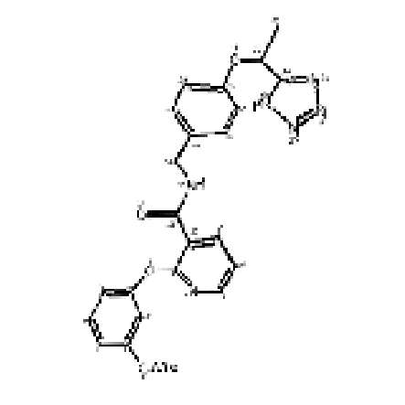 COc1cccc(Oc2ncccc2C(=O)NCc2ccc(OC(C)c3nnn[nH]3)cc2)c1